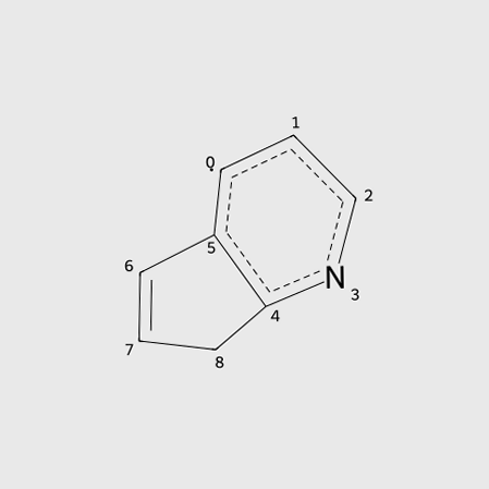 [c]1ccnc2c1C=CC2